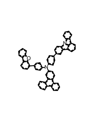 c1ccc2c(c1)oc1c(-c3ccc(N(c4ccc(-c5ccc6c(c5)c5cccc7c8ccccc8n6c75)cc4)c4ccc5c6ccccc6c6ccccc6c5c4)cc3)cccc12